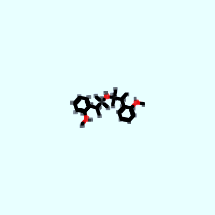 COc1ccccc1C(C)[Si](C)(C)O[Si](C)(C)C(C)c1ccccc1OC